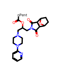 CCCCCC(=O)OC(CN1CCN(c2ccccn2)CC1)CN1C(=O)C2C3CCC(O3)C2C1=O